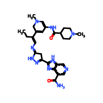 CC/C(=C\N=C1/CC(c2nc3c(C(N)=O)cncc3[nH]2)=NN1)C1=CC(NC(=O)C2CCN(C)CC2)=CN(C)C1